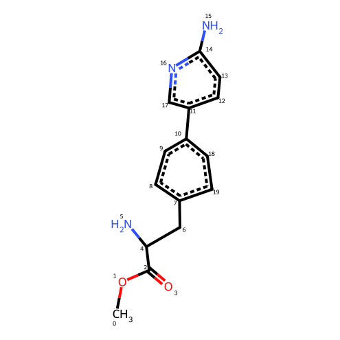 COC(=O)C(N)Cc1ccc(-c2ccc(N)nc2)cc1